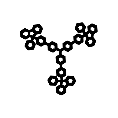 C1=CC2c3ccccc3C(c3ccccc3)(c3ccc(-c4ccc(N(c5ccc(-c6ccc(C7(c8ccccc8)c8ccccc8-c8ccccc87)cc6)cc5)c5ccc(-c6ccc(C7(c8ccccc8)c8ccccc8-c8ccccc87)cc6)cc5)cc4)cc3)C2C=C1